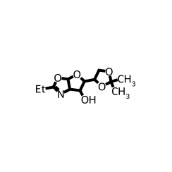 CCC1=NC2C(O1)OC(C1COC(C)(C)O1)C2O